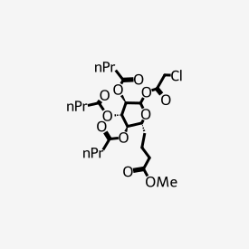 CCCC(=O)O[C@H]1[C@H](OC(=O)CCC)[C@@H](OC(=O)CCC)C(OC(=O)CCl)O[C@@H]1CCCC(=O)OC